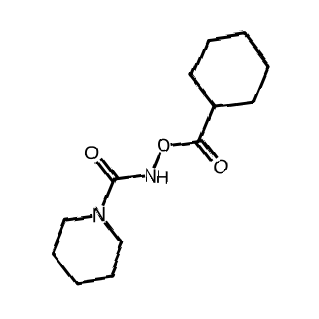 O=C(ONC(=O)N1CCCCC1)C1CCCCC1